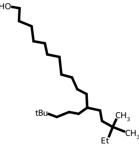 CCC(C)(C)CCC(CCCCCCCCCCCO)CCCC(C)(C)C